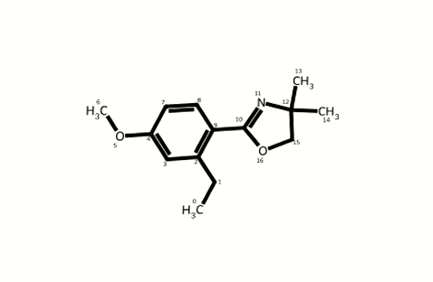 CCc1cc(OC)ccc1C1=NC(C)(C)CO1